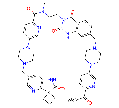 CNC(=O)c1ccc(N2CCN(Cc3ccc4c(=O)n(CCN(C)C(=O)c5ccc(N6CCN(Cc7cnc8c(c7)NC(=O)C87CCC7)CC6)cn5)c(=O)[nH]c4c3)CC2)cn1